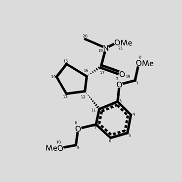 COCOc1cccc(OCOC)c1[C@@H]1CCC[C@@H]1C(=O)N(C)OC